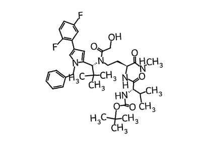 CNC(=O)[C@H](CCN(C(=O)CO)[C@@H](c1cc(-c2cc(F)ccc2F)cn1Cc1ccccc1)C(C)(C)C)NC(=O)[C@@H](NC(=O)OC(C)(C)C)C(C)C